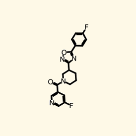 O=C(c1cncc(F)c1)N1CCCC(c2noc(-c3ccc(F)cc3)n2)C1